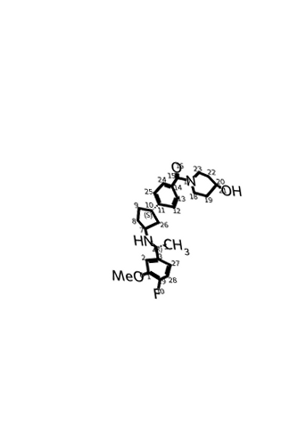 COc1cc([C@@H](C)NC2CC[C@H](c3ccc(C(=O)N4CCC(O)CC4)cc3)C2)ccc1F